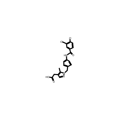 Cc1c(CC(=O)O)cnn1Cc1ccc(NC(=O)c2ccc(Cl)c(Cl)c2)cc1